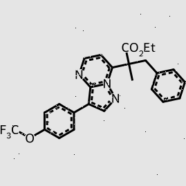 CCOC(=O)C(C)(Cc1ccccc1)c1ccnc2c(-c3ccc(OC(F)(F)F)cc3)cnn12